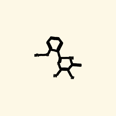 CCCOc1ccccc1-c1nc(C(C)C)c(Br)c(=O)[nH]1